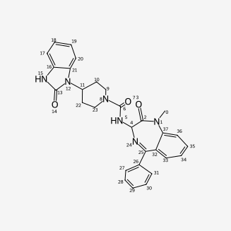 CN1C(=O)C(NC(=O)N2CCC(n3c(=O)[nH]c4ccccc43)CC2)N=C(c2ccccc2)c2ccccc21